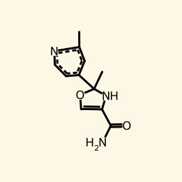 Cc1cc(C2(C)NC(C(N)=O)=CO2)ccn1